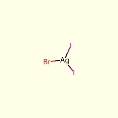 [Br][Ag]([I])[I]